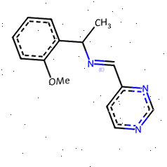 COc1ccccc1C(C)/N=C/c1ccncn1